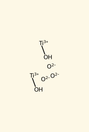 [O-2].[O-2].[O-2].[OH][Ti+3].[OH][Ti+3]